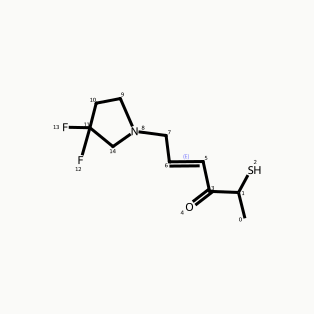 CC(S)C(=O)/C=C/CN1CCC(F)(F)C1